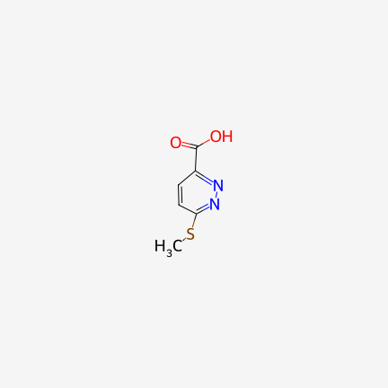 CSc1ccc(C(=O)O)nn1